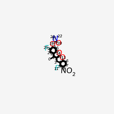 Cc1c(Cc2cccc([N+](=O)[O-])c2F)c(=O)oc2cc(OC(=O)N(C)C)c(F)cc12